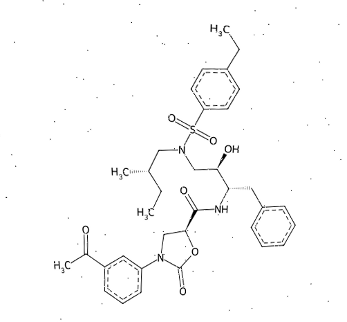 CCc1ccc(S(=O)(=O)N(C[C@@H](C)CC)C[C@@H](O)[C@H](Cc2ccccc2)NC(=O)[C@@H]2CN(c3cccc(C(C)=O)c3)C(=O)O2)cc1